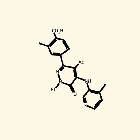 CCn1nc(-c2ccc(C(=O)O)c(C)c2)c(C(C)=O)c(Nc2cnccc2C)c1=O